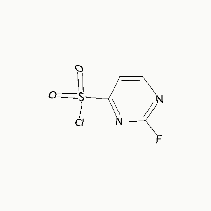 O=S(=O)(Cl)c1ccnc(F)n1